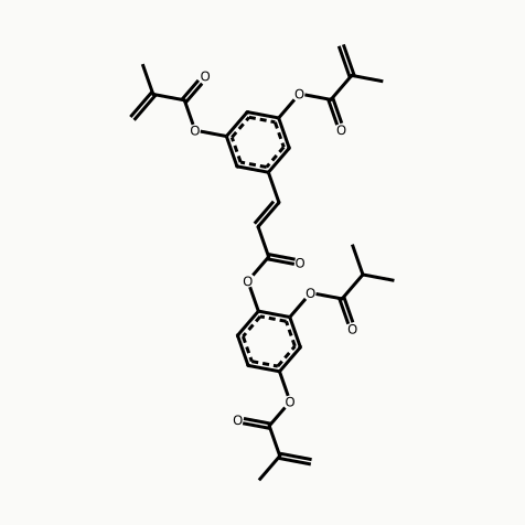 C=C(C)C(=O)Oc1cc(/C=C/C(=O)Oc2ccc(OC(=O)C(=C)C)cc2OC(=O)C(C)C)cc(OC(=O)C(=C)C)c1